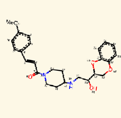 COc1ccc(/C=C/C(=O)N2CCC(NCC(O)C3COc4ccccc4O3)CC2)cc1